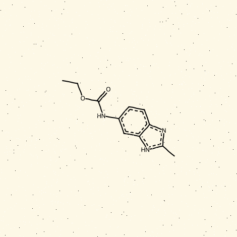 CCOC(=O)Nc1ccc2nc(C)[nH]c2c1